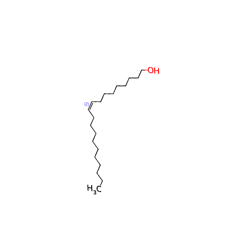 CCCCCCCCCC/C=C\CCCCCCCCO